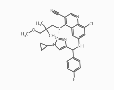 COCC(C)(C)CNc1c(C#N)cnc2c(Cl)cc(NC(c3ccc(F)cc3)c3cn(C4CC4)nn3)cc12